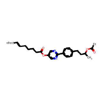 CCCCCC=CCCCCC(=O)Oc1cnc(-c2ccc(CCC(C)OC(=O)CC)cc2)nc1